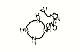 C1CNCCNCCCNCCNC1.O=[N+]([O-])c1nccn1CC1CO1